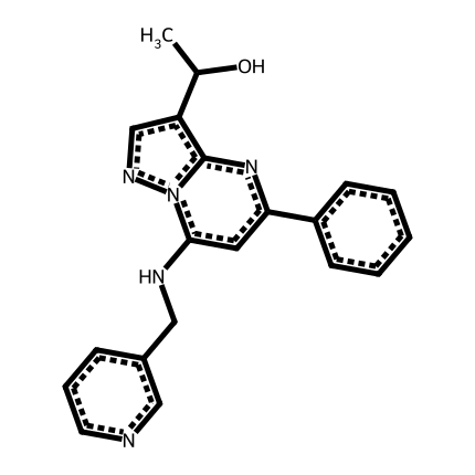 CC(O)c1cnn2c(NCc3cccnc3)cc(-c3ccccc3)nc12